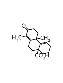 CC1=C2CC[C@@]3(C(=O)O)CCCC=C3[C@@]2(C)CCC1=O